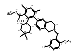 COc1ccc(Cl)cc1CN1CCc2cc(-c3c(C)nc(C)c(C(OC(C)(C)C)C(=O)O)c3N3CCC(C)(C)CC3)ccc2C1